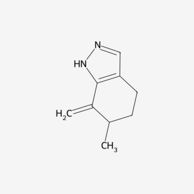 C=C1c2[nH]ncc2CCC1C